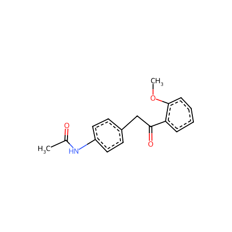 COc1ccccc1C(=O)Cc1ccc(NC(C)=O)cc1